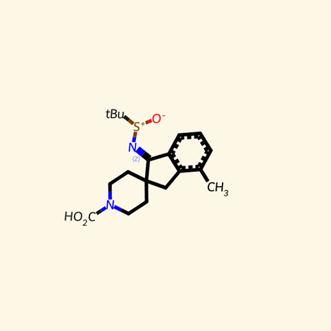 Cc1cccc2c1CC1(CCN(C(=O)O)CC1)/C2=N/[S+]([O-])C(C)(C)C